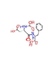 O=C(O)C[C@H](NC(=O)O)C(=O)N[C@@H](Cc1ccccc1)C(=O)O